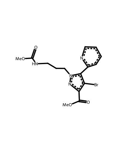 COC(=O)NCCCn1nc(C(=O)OC)c(Br)c1-c1ccccn1